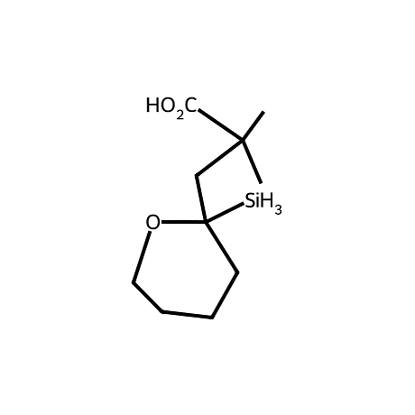 CC(C)(CC1([SiH3])CCCCO1)C(=O)O